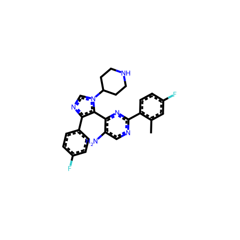 Cc1cc(F)ccc1-c1ncc(N)c(-c2c(-c3ccc(F)cc3)ncn2C2CCNCC2)n1